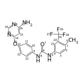 Cc1ccc(NC(=O)Nc2ccc(Oc3cc(N)ncn3)cc2)cc1C(F)(F)F